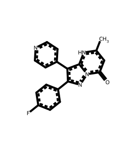 Cc1cc(=O)n2nc(-c3ccc(F)cc3)c(-c3ccncc3)c2[nH]1